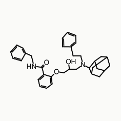 O=C(NCc1ccccc1)c1ccccc1OCC(O)CN(CCc1ccccc1)C1C2CC3CC(C2)CC1C3